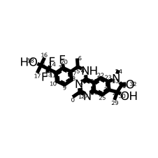 Cc1nc(NC(C)c2cccc(C(F)(F)C(C)(C)O)c2F)c2cc3c(cc2n1)C(C)(O)C(=O)N3C